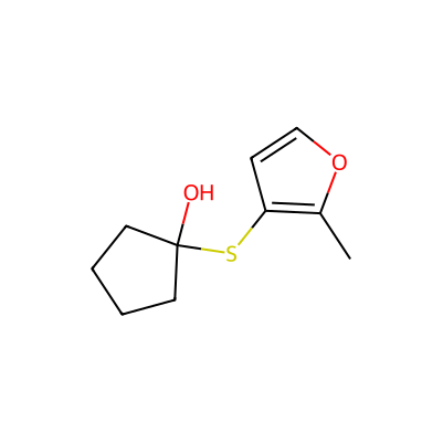 Cc1occc1SC1(O)CCCC1